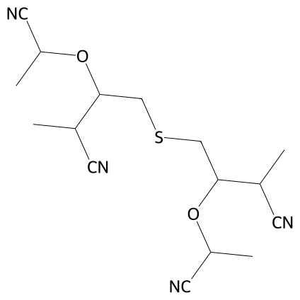 CC(C#N)OC(CSCC(OC(C)C#N)C(C)C#N)C(C)C#N